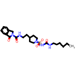 CCCCCCNC(=O)NS(=O)(=O)N1CCC(CCNC(=O)N2Cc3ccccc3C2=O)CC1